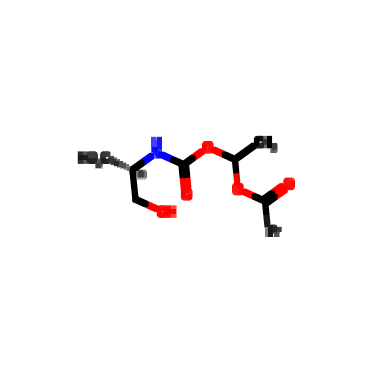 CC(OC(=O)N[C@H](CO)C(=O)O)OC(=O)C(C)C